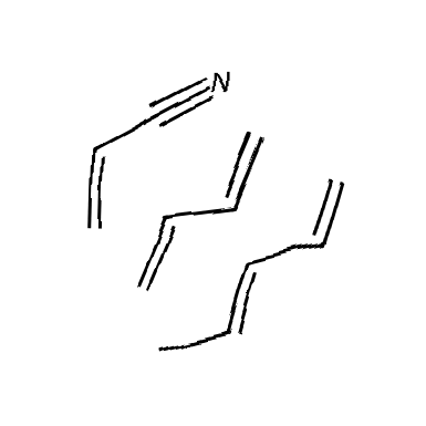 C=CC#N.C=CC=C.C=CC=CC